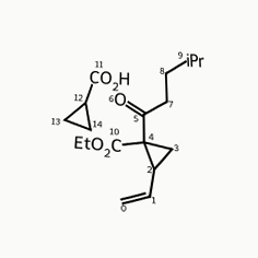 C=CC1CC1(C(=O)CCC(C)C)C(=O)OCC.O=C(O)C1CC1